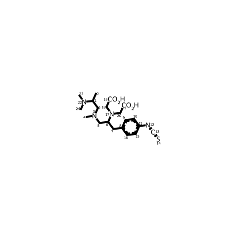 CC(CN(C)CC(Cc1ccc(N=C=S)cc1)N(CC(=O)O)CC(=O)O)N(C)C